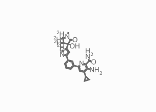 [2H]C1([2H])N(C)C(=O)[C@](O)(c2cc(-c3cccc(-c4cc(C5CC5)c(N)c(C(N)=O)n4)c3)no2)C1([2H])[2H]